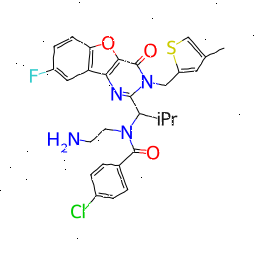 Cc1csc(Cn2c(C(C(C)C)N(CCN)C(=O)c3ccc(Cl)cc3)nc3c(oc4ccc(F)cc43)c2=O)c1